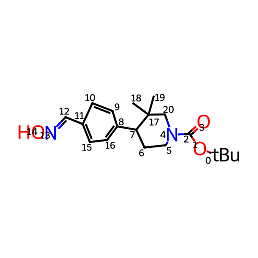 CC(C)(C)OC(=O)N1CCC(c2ccc(/C=N/O)cc2)C(C)(C)C1